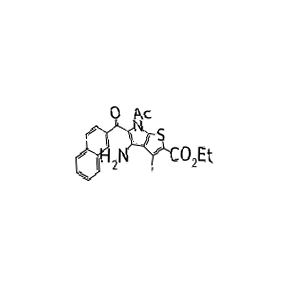 CCOC(=O)c1sc2c(c1C)c(N)c(C(=O)c1ccc3ccccc3c1)n2C(C)=O